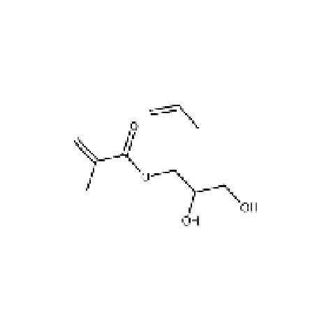 C=C(C)C(=O)OCC(O)CO.C=CC